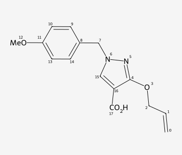 C=CCOc1nn(Cc2ccc(OC)cc2)cc1C(=O)O